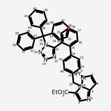 CCCN1C=CC2=NC=C(C(=O)OCC)[N+]21Cc1ccc(-c2ccccc2-c2nnnn2C(c2ccccc2)(c2ccccc2)c2ccccc2)cc1